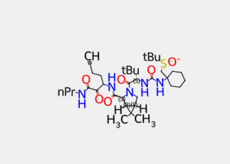 C#CCCC(NC(=O)[C@@H]1[C@@H]2[C@H](CN1C(=O)[C@@H](NC(=O)NC1(C[S+]([O-])C(C)(C)C)CCCCC1)C(C)(C)C)C2(C)C)C(=O)C(=O)NCCC